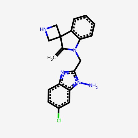 C=C1N(Cc2nc3ccc(Cl)cc3n2N)c2ccccc2C12CNC2